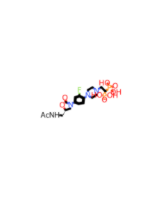 CC(=O)NC[C@H]1CN(c2ccc(N3CCN(CC(P(=O)(O)O)P(=O)(O)O)CC3)c(F)c2)C(=O)O1